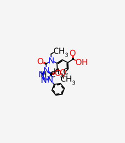 C=C(OC)/C(=C\C(=C/C)C(=O)O)N(CC)C(=O)n1nnn(-c2ccccc2)c1=O